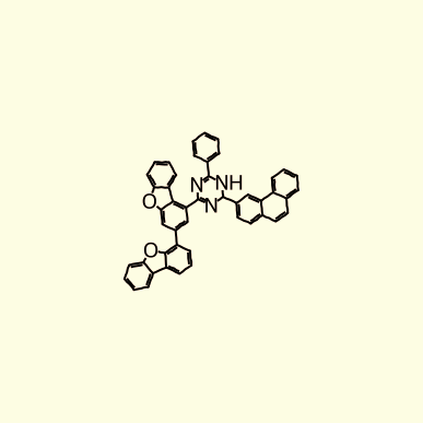 c1ccc(C2=NC(c3cc(-c4cccc5c4oc4ccccc45)cc4oc5ccccc5c34)=NC(c3ccc4ccc5ccccc5c4c3)N2)cc1